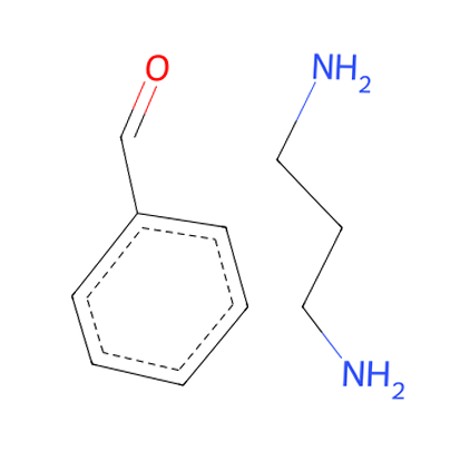 NCCCN.O=Cc1ccccc1